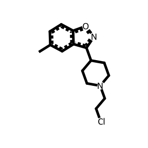 Cc1ccc2onc(C3CCN(CCCl)CC3)c2c1